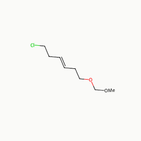 COCOCCC=CCCCl